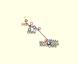 COC[C@@H](OC)[C@@H](OC)[C@H](OC)[C@H](CNC(=O)CCCCCCCCCCC(=O)NCc1ccc(N2C(=O)[C@H](CC[C@H](O)c3ccc(F)cc3)[C@H]2c2ccc(OC)cc2)cc1)OC